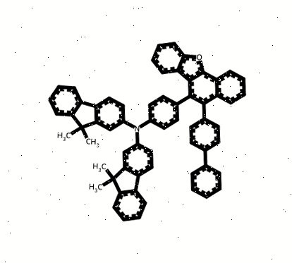 CC1(C)c2ccccc2-c2ccc(N(c3ccc(-c4c(-c5ccc(-c6ccccc6)cc5)c5ccccc5c5oc6ccccc6c45)cc3)c3ccc4c(c3)C(C)(C)c3ccccc3-4)cc21